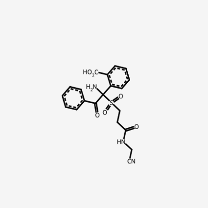 N#CCNC(=O)CCS(=O)(=O)C(N)(C(=O)c1ccccc1)c1ccccc1C(=O)O